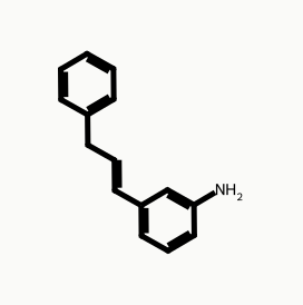 Nc1cccc(C=CCc2ccccc2)c1